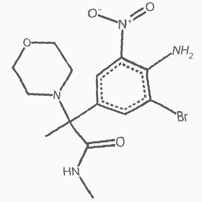 CNC(=O)C(C)(c1cc(Br)c(N)c([N+](=O)[O-])c1)N1CCOCC1